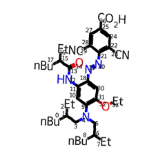 CCCCC(CC)CN(CC(CC)CCCC)c1cc(NC(=O)C(CC)CCCC)c(/N=N/c2c(C#N)cc(C(=O)O)cc2C#N)cc1OCC